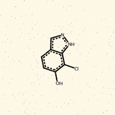 Oc1ccc2cn[nH]c2c1Cl